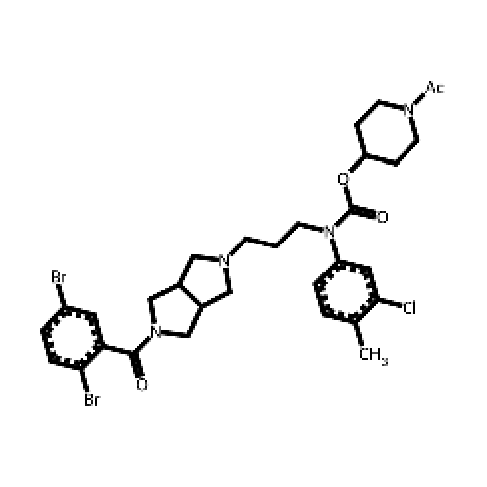 CC(=O)N1CCC(OC(=O)N(CCCN2CC3CN(C(=O)c4cc(Br)ccc4Br)CC3C2)c2ccc(C)c(Cl)c2)CC1